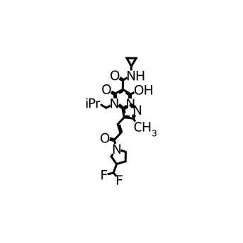 Cc1nn2c(O)c(C(=O)NC3CC3)c(=O)n(CC(C)C)c2c1/C=C/C(=O)N1CCC(C(F)F)C1